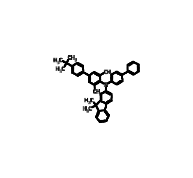 Cc1cc(-c2ccc(C(C)(C)C)cc2)cc(C)c1N(c1ccc(-c2ccccc2)cc1)c1ccc2c(c1)C(C)(C)c1ccccc1-2